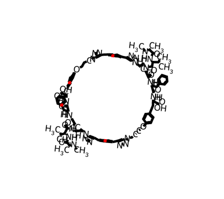 CN[C@@H](C)C(=O)N[C@H](C(=O)N1C[C@@H]2C[C@H]1C(=O)N[C@@H](Cc1ccccc1)C(=O)N[C@H](C(=O)O)Cc1ccc(cc1)OCCCn1cc(nn1)-c1ccc(cc1)-c1cn(nn1)[C@H]1C[C@@H](C(=O)N[C@@H](Cc3ccccc3)C(=O)N[C@H](C(=O)O)Cc3ccc(cc3)OCCCn3cc(nn3)-c3ccc(cc3)-c3cn2nn3)N(C(=O)[C@@H](NC(=O)[C@H](C)NC)C(C)C)C1)C(C)C